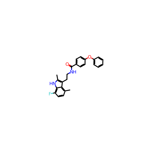 Cc1[nH]c2c(F)ccc(C)c2c1CCNC(=O)c1ccc(Oc2ccccc2)cc1